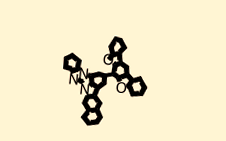 c1ccc2cc3c(cc2c1)c1cc(-c2c4oc5ccccc5c4cc4c2oc2ccccc24)cc2c1n3c1nc3ccccc3n21